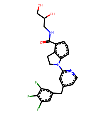 O=C(NCC(O)CO)c1cccc2c1CCN2c1cc(Cc2cc(F)c(F)c(F)c2)ccn1